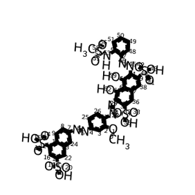 COc1cc(N=Nc2ccc3c(S(=O)(=O)O)cc(S(=O)(=O)O)cc3c2)ccc1N=Nc1c(S(=O)(=O)O)cc2cc(S(=O)(=O)O)c(N=Nc3ccccc3NS(C)(=O)=O)c(O)c2c1O